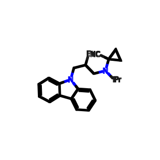 CCC(CN(C(C)C)C1(C#N)CC1)Cn1c2ccccc2c2ccccc21